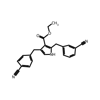 CCOC(=O)c1c(Cc2ccc(C#N)cc2)c[nH]c1Cc1cccc(C#N)c1